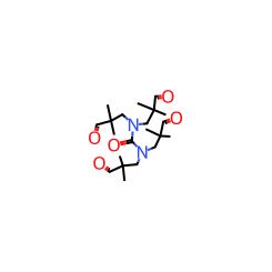 CC(C)(C=O)CN(CC(C)(C)C=O)C(=O)N(CC(C)(C)C=O)CC(C)(C)C=O